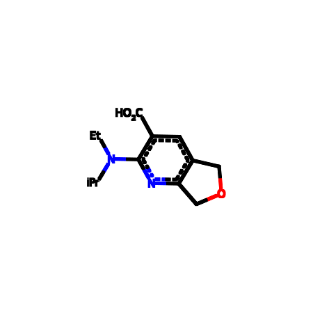 CCN(c1nc2c(cc1C(=O)O)COC2)C(C)C